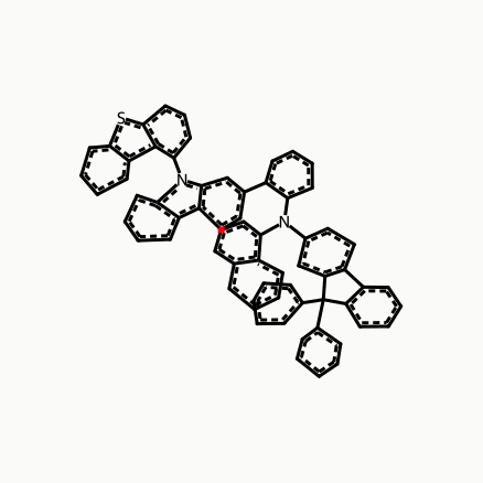 c1ccc(C2(c3ccccc3)c3ccccc3-c3ccc(N(c4ccccc4-c4ccc5c6ccccc6n(-c6cccc7sc8ccccc8c67)c5c4)c4cccc5ccccc45)cc32)cc1